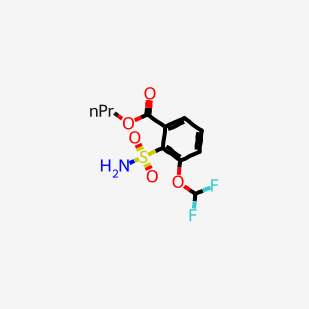 CCCOC(=O)c1cccc(OC(F)F)c1S(N)(=O)=O